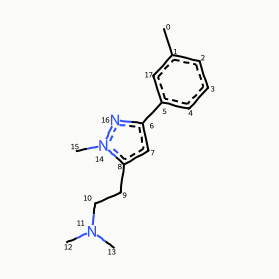 Cc1cccc(-c2cc(CCN(C)C)n(C)n2)c1